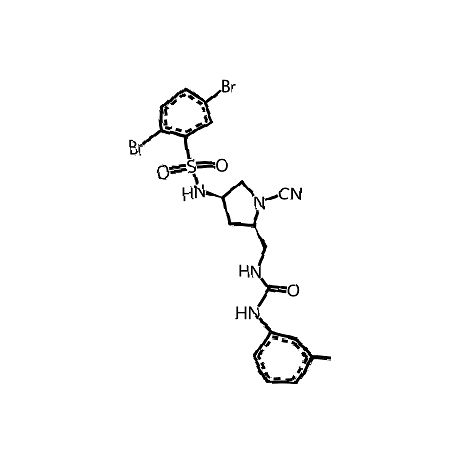 Cc1cccc(NC(=O)NC[C@H]2C[C@@H](NS(=O)(=O)c3cc(Br)ccc3Br)CN2C#N)c1